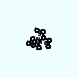 c1ccc(-c2ccccc2-c2nc(-c3cc(-c4cccc5c4oc4ccccc45)cc(-c4cccc5c4sc4ccccc45)c3)nc(-c3cccc4c3sc3ccccc34)n2)cc1